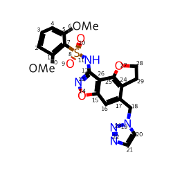 COc1cccc(OC)c1S(=O)(=O)Nc1noc2cc(Cn3ccnn3)c3c(c12)OCC3